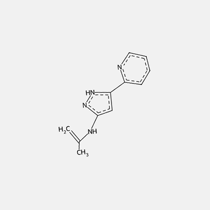 C=C(C)Nc1cc(-c2ccccn2)[nH]n1